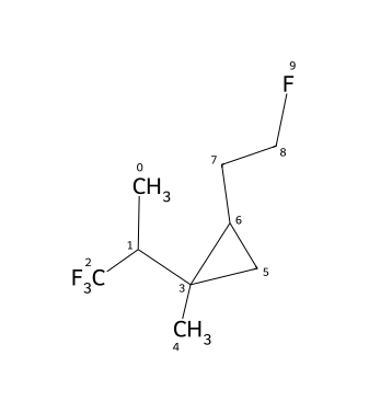 CC(C(F)(F)F)C1(C)CC1CCF